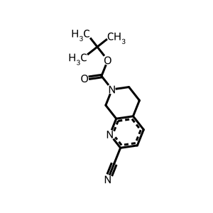 CC(C)(C)OC(=O)N1CCc2ccc(C#N)nc2C1